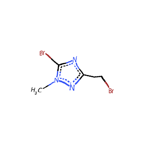 Cn1nc(CBr)nc1Br